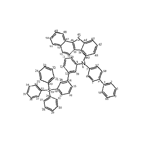 c1ccc(-c2ccc(N(c3cccc(-c4cccc(S(c5ccccc5)(c5ccccc5)c5ccccc5)c4)c3)c3cccc4sc5c6ccccc6ccc5c34)cc2)cc1